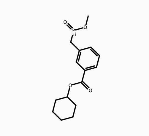 CO[PH](=O)Cc1cccc(C(=O)OC2CCCCC2)c1